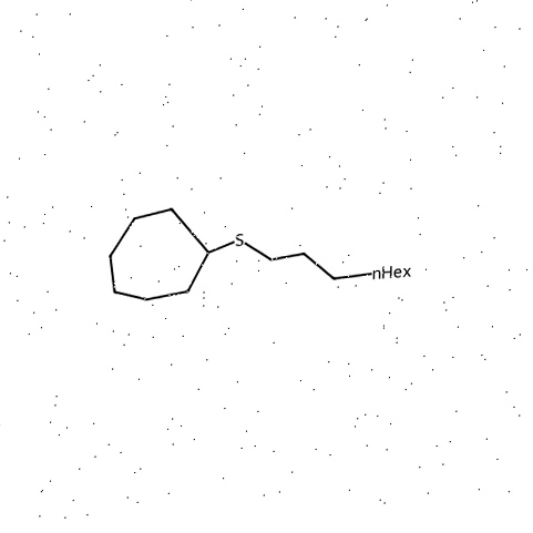 CCCCCCCCCSC1CCCCCC1